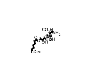 CCCCCCCCCCCCCCCC(=O)OCC(O)COP(=O)(O)OCC(N)C(=O)O